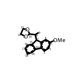 COc1ccc2c(c1)C(C(C)C1OCCO1)c1ccccc1-2